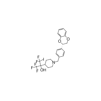 OC(C1CCN(Cc2ccc([C@H]3COc4ccccc4O3)cc2)CC1)(C(F)(F)F)C(F)(F)I